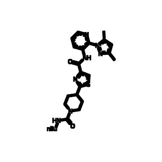 CCCCNC(=O)N1CCC(c2nc(C(=O)Nc3cccnc3-n3nc(C)cc3C)cs2)CC1